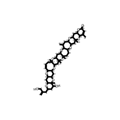 C=C(CO)CC1CC(O)C2(C)OC3CC4OC5CC6(C)OC7(C)CCC8OC9CC%10(C)OC%11C(C)=CC(=O)OC%11CC%10OC9CC(C)C8OC7CC6OC5(C)C/C=C\C4OC3CC2O1